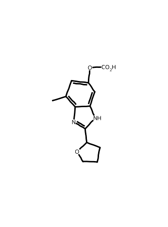 Cc1cc(OC(=O)O)cc2[nH]c(C3CCCO3)nc12